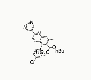 CCCCOC(C(=O)O)c1c(C)cc2nc(-c3cncnc3)ccc2c1-c1ccc(Cl)cc1